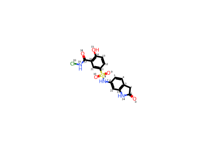 O=C1Cc2ccc(NS(=O)(=O)c3ccc(O)c(C(=O)NCl)c3)cc2N1